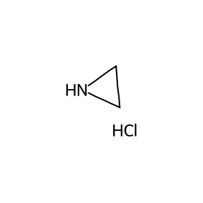 C1CN1.Cl